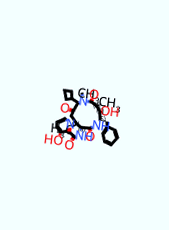 C[C@H]1CC(=O)C(C2CCC2)N(C)C(=O)[C@H](C)[C@H](O)[C@H](Cc2ccccc2)NC(=O)[C@H]1NC(=O)c1ncccc1O